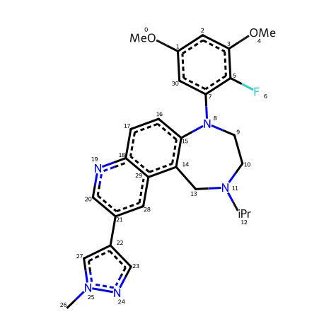 COc1cc(OC)c(F)c(N2CCN(C(C)C)Cc3c2ccc2ncc(-c4cnn(C)c4)cc32)c1